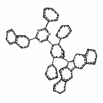 c1ccc(-c2nc(-c3ccc4ccccc4c3)nc(-c3cc(-c4ccccc4)c(-n4c5cc6ccccc6cc5c5cc6ccccc6cc54)cc3-c3ccccc3)n2)cc1